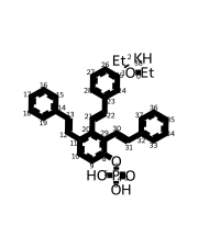 CCOCC.O=P(O)(O)Oc1ccc(/C=C/c2ccccc2)c(/C=C/c2ccccc2)c1/C=C/c1ccccc1.[KH]